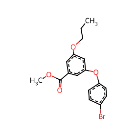 CCCOc1cc(Oc2ccc(Br)cc2)cc(C(=O)OC)c1